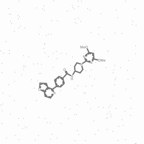 COc1cc(OC)nc(N2CCC(NC(=O)c3ccc(-c4nccc5occc45)cc3)CC2)n1